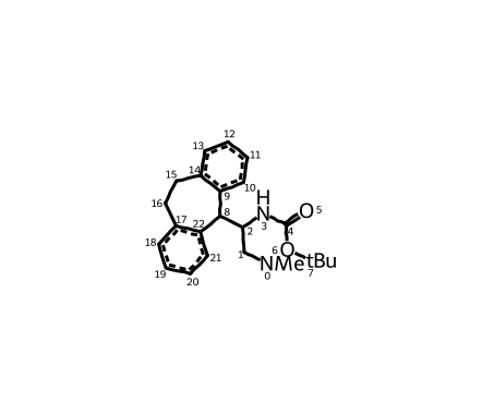 CNCC(NC(=O)OC(C)(C)C)C1c2ccccc2CCc2ccccc21